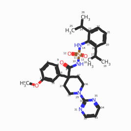 COc1cccc(C2(C(=O)NS(=O)(=O)Nc3c(C(C)C)cccc3C(C)C)CCN(c3ncccn3)CC2)c1